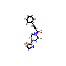 C[C@@H]1CN(c2nccs2)CCN1C(=O)C#Cc1ccccc1